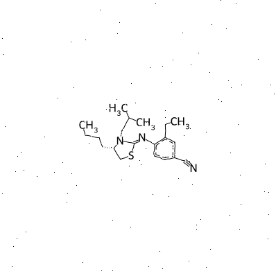 CCCC[C@H]1CSC(=Nc2ccc(C#N)cc2CC)N1CC(C)C